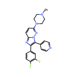 CC(C)N1CCN(c2ccc3nc(-c4ccc(F)c(F)c4)c(-c4ccncc4)n3n2)CC1